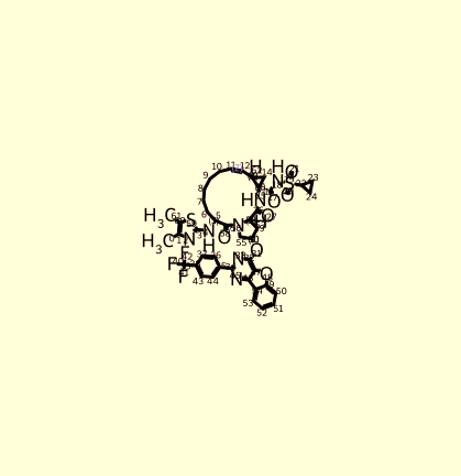 Cc1nc(N[C@H]2CCCCC/C=C\[C@@H]3C[C@@]3(C(=O)NS(=O)(=O)C3CC3)NC(=O)[C@@H]3C[C@@H](Oc4nc(-c5ccc(C(F)(F)F)cc5)nc5c4oc4ccccc45)CN3C2=O)sc1C